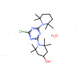 CC1(C)CCCC(C)(C)N1c1nc(Cl)nc(N2C(C)(C)CC(O)CC2(C)C)n1.O